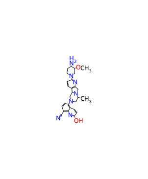 COC1CN(c2ccc3c(n2)CN2C(C)CN(c4ccc(C#N)c5nc(O)ccc45)CC32)CCC1N